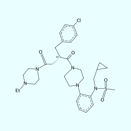 CCN1CCN(C(=O)C[C@H](Cc2ccc(Cl)cc2)C(=O)N2CCN(c3ccccc3N(CC3CC3)S(C)(=O)=O)CC2)CC1